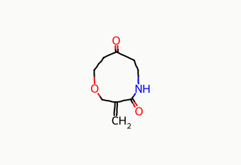 C=C1COCCC(=O)CCNC1=O